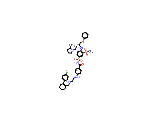 CC1CCCN1CC[C@H](CSc1ccccc1)Nc1ccc(S(=O)(=O)NC(=O)c2ccc(NCCNCC3=C(c4ccc(Cl)cc4)CCCC3)cc2)cc1S(=O)(=O)C(F)(F)F